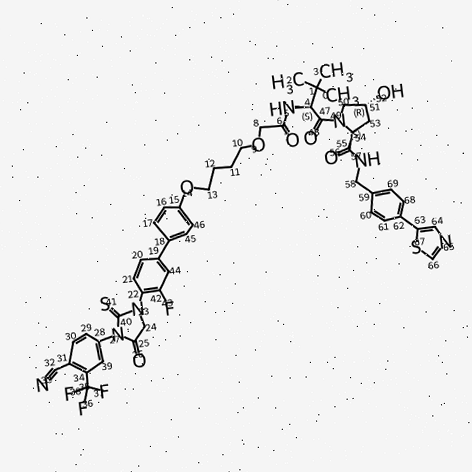 CC(C)(C)[C@H](NC(=O)COCCCCOc1ccc(-c2ccc(N3CC(=O)N(c4ccc(C#N)c(C(F)(F)F)c4)C3=S)c(F)c2)cc1)C(=O)N1C[C@H](O)C[C@H]1C(=O)NCc1ccc(-c2cncs2)cc1